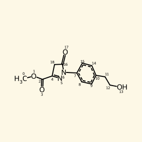 COC(=O)C1=NN(c2ccc(CCO)cc2)C(=O)C1